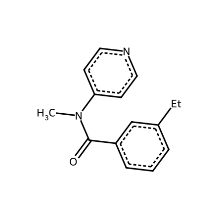 CCc1cccc(C(=O)N(C)c2ccncc2)c1